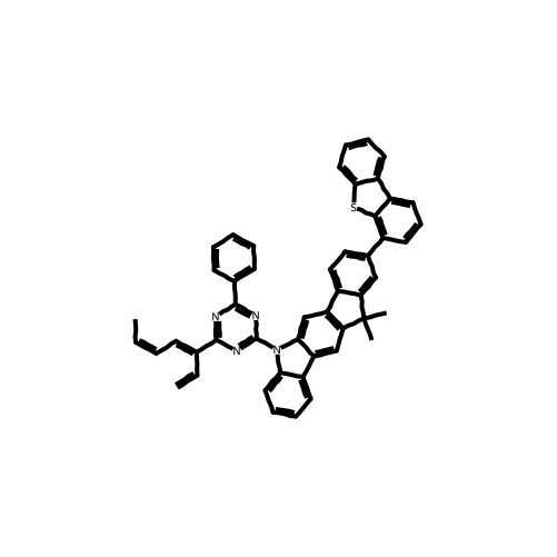 C=C/C(=C\C=C/C)c1nc(-c2ccccc2)nc(-n2c3ccccc3c3cc4c(cc32)-c2ccc(-c3cccc5c3sc3ccccc35)cc2C4(C)C)n1